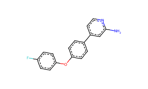 Nc1cc(-c2ccc(Oc3ccc(F)cc3)cc2)ccn1